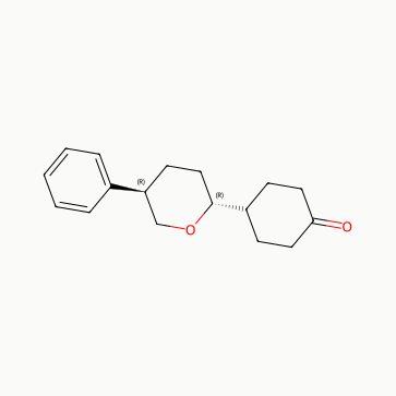 O=C1CCC([C@H]2CC[C@H](c3ccccc3)CO2)CC1